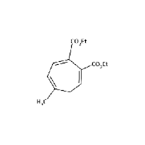 CCOC(=O)C1=CC=C(C)CC=C1C(=O)OCC